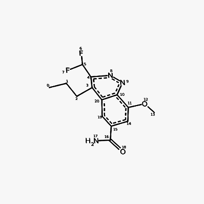 CCCc1c(C(F)F)nnc2c(OC)cc(C(N)=O)cc12